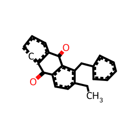 CCc1ccc2c(c1Cc1ccccc1)C(=O)c1ccccc1C2=O